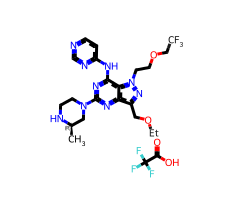 CCOCc1nn(CCOCC(F)(F)F)c2c(Nc3ccncn3)nc(N3CCN[C@H](C)C3)nc12.O=C(O)C(F)(F)F